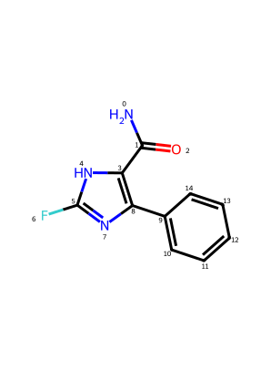 NC(=O)c1[nH]c(F)nc1-c1ccccc1